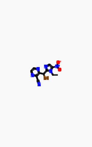 CCn1c([N+](=O)[O-])cnc1C(S)c1nccnc1C#N